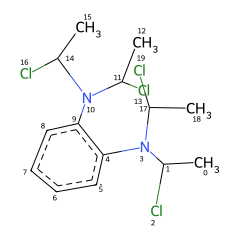 CC(Cl)N(c1[c]cccc1N(C(C)Cl)C(C)Cl)C(C)Cl